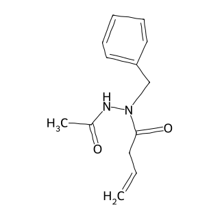 C=CCC(=O)N(Cc1ccccc1)NC(C)=O